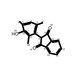 Cc1cc(C)c(C2C(=O)c3ccccc3C2=O)c(C)c1O